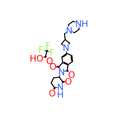 O=C(O)C(F)(F)F.O=C1CCC(N2C(=O)c3ccc(N4CC(CN5CCNCC5)C4)cc3C2=O)C(=O)N1